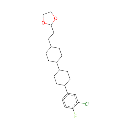 Fc1ccc(C2CCC(C3CCC(CCC4OCCO4)CC3)CC2)cc1Cl